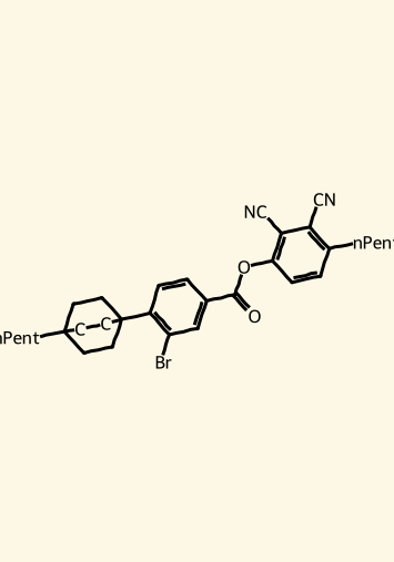 CCCCCc1ccc(OC(=O)c2ccc(C34CCC(CCCCC)(CC3)CC4)c(Br)c2)c(C#N)c1C#N